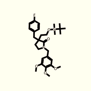 COc1cc(CN2CCC(CCO[Si](C)(C)C(C)(C)C)(Cc3ccc(F)cc3)C2=O)cc(OC)c1OC